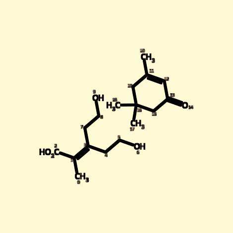 CC(C(=O)O)=C(CCO)CCO.CC1=CC(=O)CC(C)(C)C1